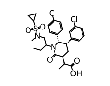 CCC(CN(C)S(=O)(=O)C1CC1)N1C(=O)[C@H](C(C)C(=O)O)C[C@H](c2cccc(Cl)c2)[C@H]1c1ccc(Cl)cc1